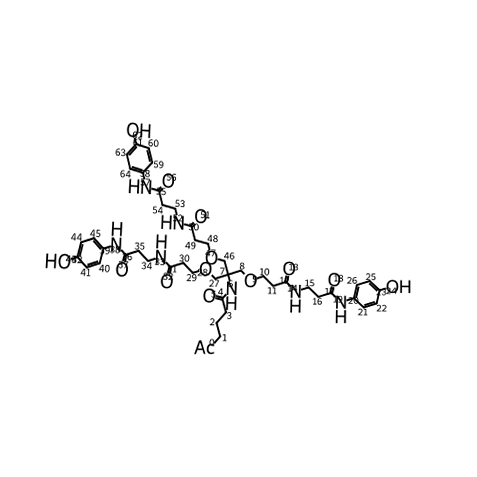 CC(=O)CCCC(=O)NC(COCCC(=O)NCCC(=O)Nc1ccc(O)cc1)(COCCC(=O)NCCC(=O)Nc1ccc(O)cc1)COCCC(=O)NCCC(=O)Nc1ccc(O)cc1